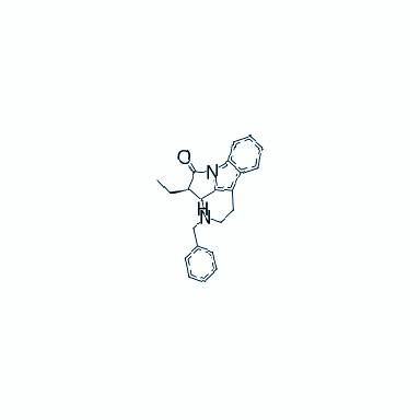 CC[C@H]1C(=O)n2c3c(c4ccccc42)CCN(Cc2ccccc2)[C@@H]31